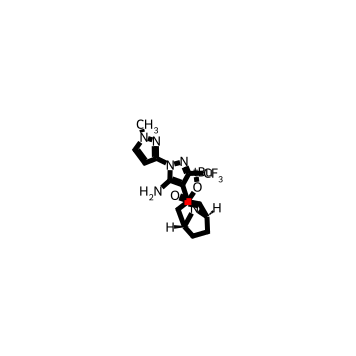 Cn1ccc(-n2nc(C(F)(F)F)c(C3=C[C@H]4CC[C@H](C3)N4C(=O)OC(C)(C)C)c2N)n1